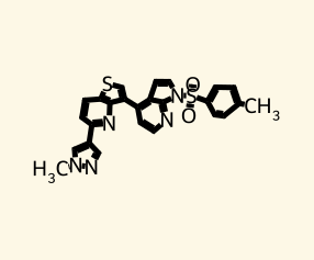 Cc1ccc(S(=O)(=O)n2ccc3c(-c4csc5ccc(-c6cnn(C)c6)nc45)ccnc32)cc1